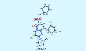 CC(=O)N[C@H]1C[C@H](C)N(c2nc3c(-c4ccc(F)cc4F)cc(C(=O)OCc4ccccc4)c(=O)n3cc2F)C1